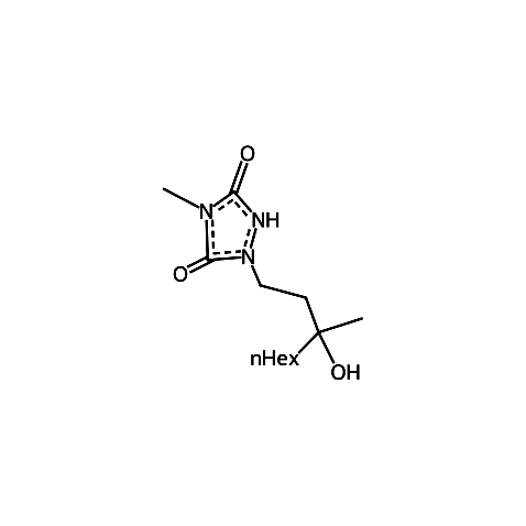 CCCCCCC(C)(O)CCn1[nH]c(=O)n(C)c1=O